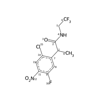 CC(C(=O)NCC(F)(F)F)c1cc(F)c([N+](=O)[O-])cc1Cl